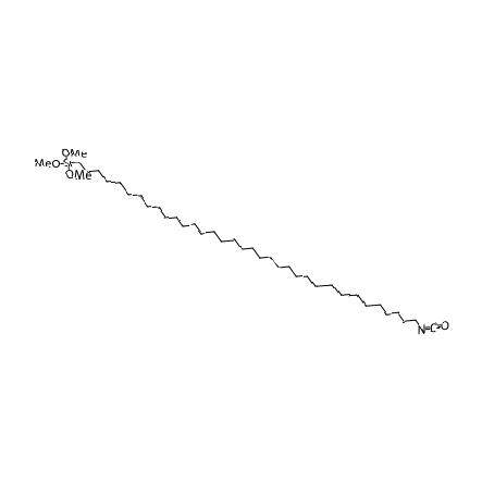 CO[Si](CCCCCCCCCCCCCCCCCCCCCCCCCCCCCCCCCCCN=C=O)(OC)OC